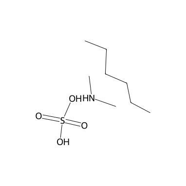 CCCCCC.CNC.O=S(=O)(O)O